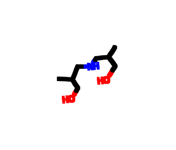 CC(CO)CNCC(C)CO